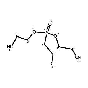 N#CCCOP(=O)(CCCl)OCCC#N